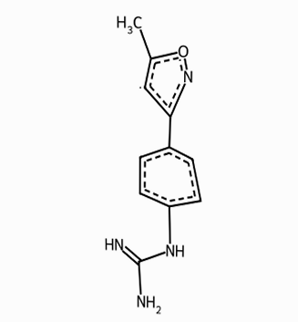 Cc1[c]c(-c2ccc(NC(=N)N)cc2)no1